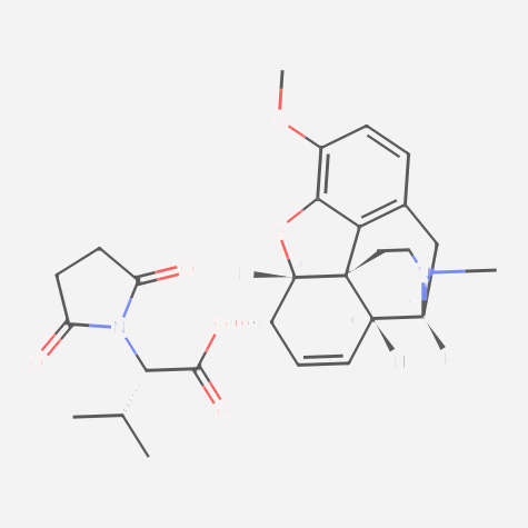 COc1ccc2c3c1O[C@H]1[C@@H](OC(=O)[C@H](C(C)C)N4C(=O)CCC4=O)C=C[C@H]4[C@@H](C2)N(C)CC[C@@]341